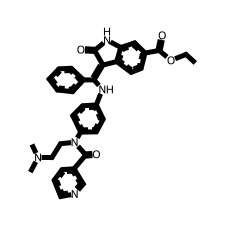 CCOC(=O)c1ccc2c(c1)NC(=O)C2=C(Nc1ccc(N(CCN(C)C)C(=O)c2cccnc2)cc1)c1ccccc1